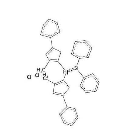 CC1=[C]([Hf+2]([C]2=C(C)C=C(c3ccccc3)C2)=[Si](c2ccccc2)c2ccccc2)CC(c2ccccc2)=C1.[Cl-].[Cl-]